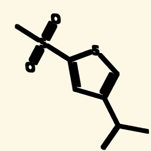 CC(C)c1csc(S(C)(=O)=O)c1